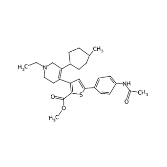 CCN1CCC(c2cc(-c3ccc(NC(C)=O)cc3)sc2C(=O)OC)=C(C2CCC(C)CC2)C1